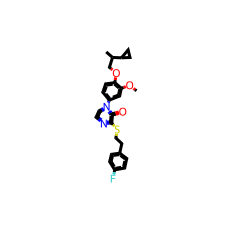 COc1cc(-n2ccnc(SCCc3ccc(F)cc3)c2=O)ccc1OCC(C)C1CC1